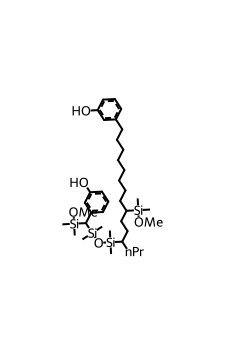 CCCC(CCC(CCCCCCCCc1cccc(O)c1)[Si](C)(C)OC)[Si](C)(C)O[Si](C)(C)C(c1cccc(O)c1)[Si](C)(C)OC